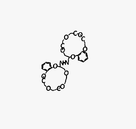 c1ccc2c(c1)OCCOCCOCCOCC(N=NC1COCCOCCOCCOc3ccccc3O1)O2